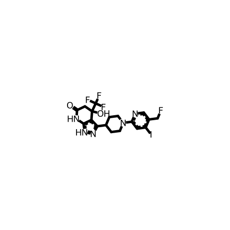 O=C1CC(O)(C(F)(F)F)c2c(C3CCN(c4cc(I)c(CF)cn4)CC3)n[nH]c2N1